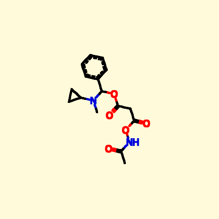 CC(=O)NOC(=O)CC(=O)OC(c1ccccc1)N(C)C1CC1